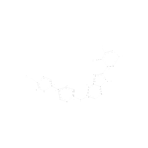 CC(=O)c1ccc(-c2ccc(Cn3ccc4nc(-c5cccc(F)c5F)nc-4c3)cc2)cc1